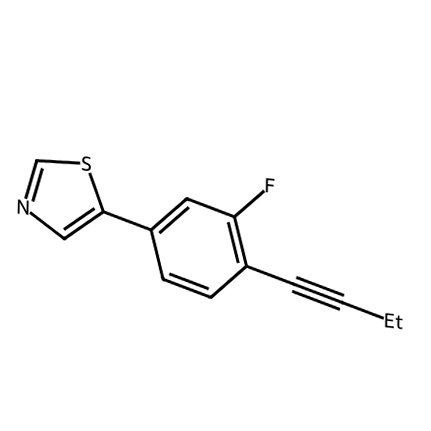 CCC#Cc1ccc(-c2cncs2)cc1F